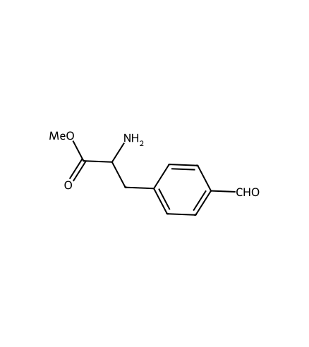 COC(=O)C(N)Cc1ccc(C=O)cc1